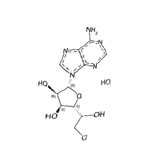 Cl.Nc1ncnc2c1ncn2[C@@H]1O[C@H](C(O)CCl)[C@@H](O)[C@H]1O